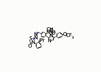 CC(C)c1ccccc1N1C(=O)CS/C1=N\N=C/c1ccc2c(c1)N(C)S(=O)(=O)n1c(-c3ccc(OC(F)(F)F)cc3)cnc1-2